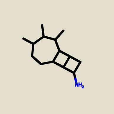 CC1CCC2C3C(N)CC3C2C(C)C1C